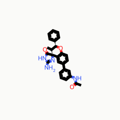 CC(=O)Nc1cccc(-c2ccc3c(c2)[C@]2(N=C(N)NC2=O)C(C)[C@H](c2ccccc2)O3)c1